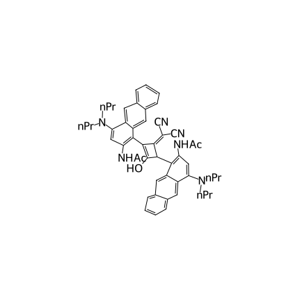 CCCN(CCC)c1cc(NC(C)=O)c(C2=C(O)C(c3c(NC(C)=O)cc(N(CCC)CCC)c4cc5ccccc5cc34)C2=C(C#N)C#N)c2cc3ccccc3cc12